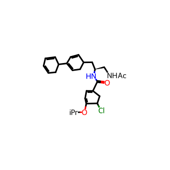 CC(=O)NC[C@H](CC1C=CC(C2C=CC=CC2)=CC1)NC(=O)C1=CC=C(OC(C)C)C(Cl)C1